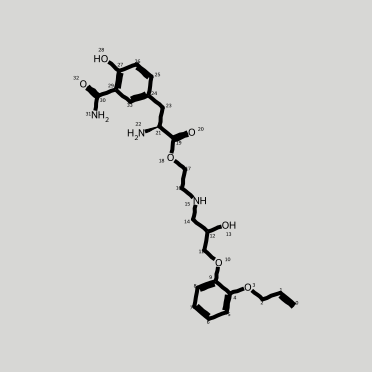 C=CCOc1ccccc1OCC(O)CNCCOC(=O)[C@@H](N)Cc1ccc(O)c(C(N)=O)c1